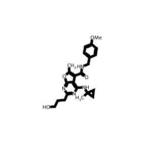 COc1ccc(CNC(=O)c2c(C)oc3nc(CCCO)nc(NC4(C)CC4)c23)cc1